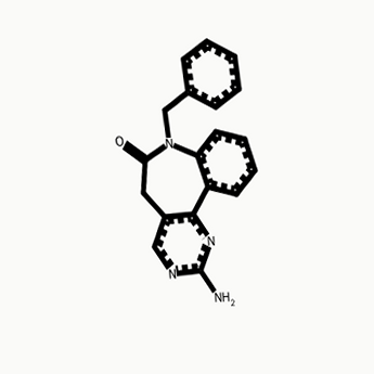 Nc1ncc2c(n1)-c1ccccc1N(Cc1ccccc1)C(=O)C2